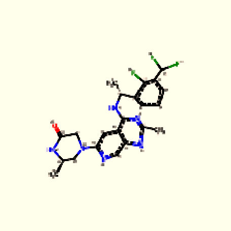 Cc1nc(N[C@H](C)c2cccc(C(F)F)c2F)c2cc(N3CC(=O)N[C@H](C)C3)ncc2n1